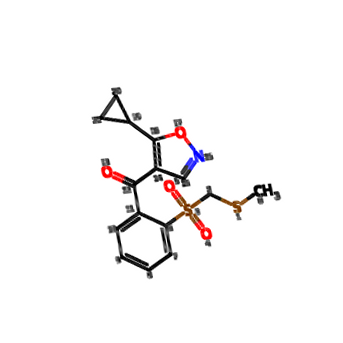 CSCS(=O)(=O)c1ccccc1C(=O)c1cnoc1C1CC1